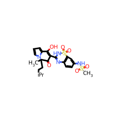 CC(C)CCC1(C)C(=O)C(C2=Nc3ccc(NS(C)(=O)=O)cc3S(=O)(=O)N2)=C(O)c2cccn21